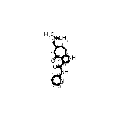 CN(C)CC1CCc2[nH]cc(C(=O)Nc3ccccn3)c2C(=O)C1